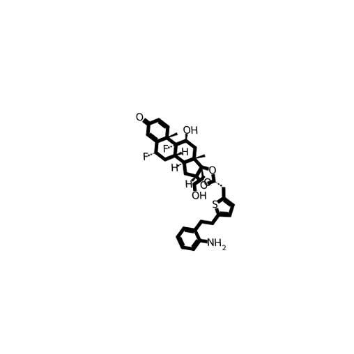 C[C@]12C=CC(=O)C=C1[C@@H](F)C[C@H]1[C@@H]3C[C@H]4O[C@@H](Cc5ccc(CCc6ccccc6N)s5)O[C@@]4(C(=O)CO)[C@@]3(C)C[C@H](O)[C@@]12F